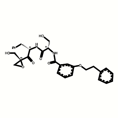 CC(C)C[C@H](NC(=O)[C@H](CO)NC(=O)c1cccc(OCCc2ccccc2)c1)C(=O)[C@@]1(CO)CO1